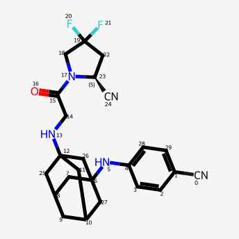 N#Cc1ccc(NC23CC4CC(CC(NCC(=O)N5CC(F)(F)C[C@H]5C#N)(C4)C2)C3)cc1